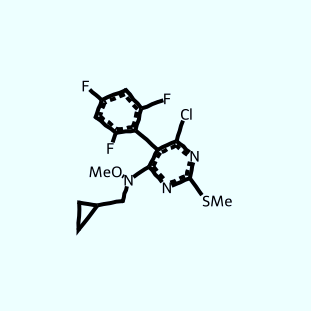 CON(CC1CC1)c1nc(SC)nc(Cl)c1-c1c(F)cc(F)cc1F